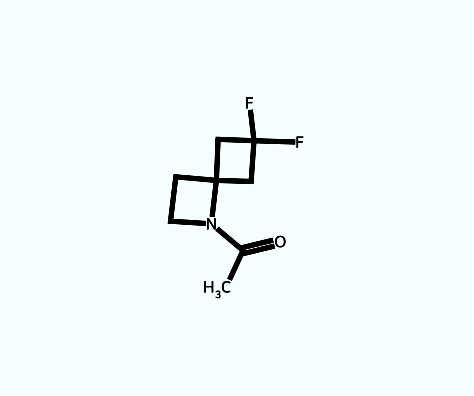 CC(=O)N1CCC12CC(F)(F)C2